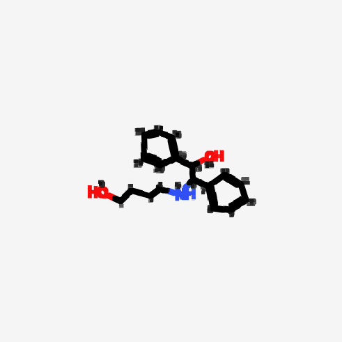 OCCCCNC(c1ccccc1)C(O)c1ccccc1